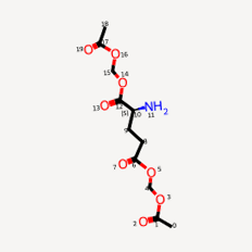 CC(=O)OCOC(=O)CC[C@H](N)C(=O)OCOC(C)=O